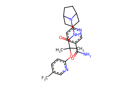 CC(C)(Oc1ccc(C(F)(F)F)cn1)C(=O)NC1CC2CCC(C1)N2c1ccc(C(N)=O)cn1